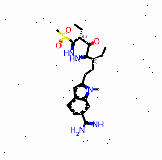 CC[C@@H](CCc1cc2ccc(C(=N)N)cc2n1C)C(=N)C(=O)[C@@H](CC)C(=N)S(C)(=O)=O